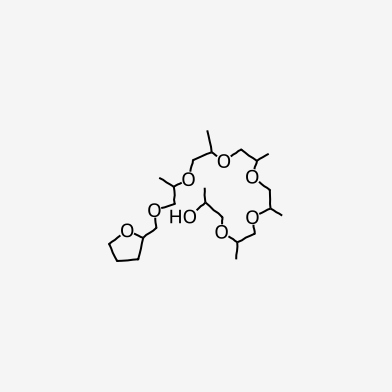 CC(O)COC(C)COC(C)COC(C)COC(C)COC(C)COCC1CCCO1